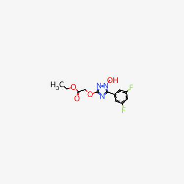 CCOC(=O)COc1nc(-c2cc(F)cc(F)c2)n(O)n1